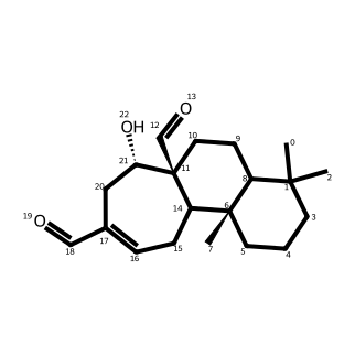 CC1(C)CCC[C@@]2(C)C1CC[C@]1(C=O)C2CC=C(C=O)C[C@@H]1O